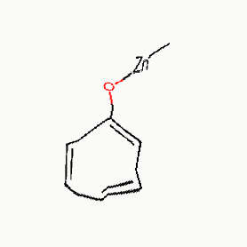 [CH3][Zn][O]c1ccccc1